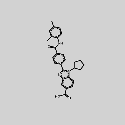 Cc1ccc(NC(=O)c2ccc(-c3nc4cc(C(=O)O)ccc4n3C3CCCC3)cc2)c(C)c1